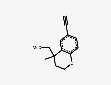 C#Cc1ccc2c(c1)C(C)(COC)CCO2